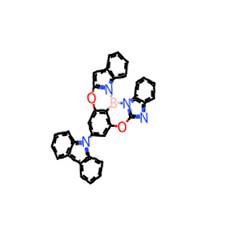 c1ccc2c(c1)cc1n2B2c3c(cc(-n4c5ccccc5c5ccccc54)cc3Oc3nc4ccccc4n32)O1